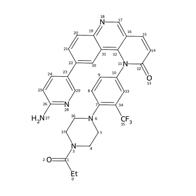 CCC(=O)N1CCN(c2ccc(-n3c(=O)ccc4cnc5ccc(-c6ccc(N)nc6)cc5c43)cc2C(F)(F)F)CC1